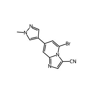 Cn1cc(-c2cc(Br)n3c(C#N)cnc3c2)cn1